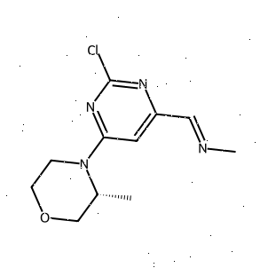 C/N=C/c1cc(N2CCOC[C@H]2C)nc(Cl)n1